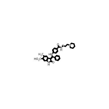 Cc1cc2c(cc1C(=O)O)NC(=O)/C2=C(/Nc1ccc(C(=O)NOCCN2CCCCC2)cc1)c1ccccc1